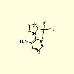 Nc1cnccc1N1CCNC1C(F)(F)F